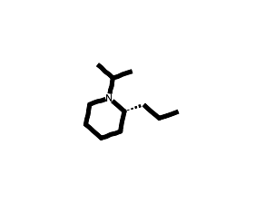 CCC[C@@H]1CCCCN1C(C)C